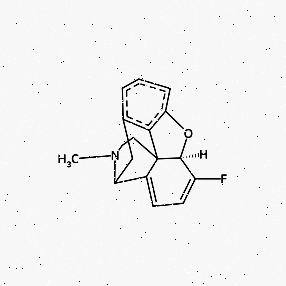 CN1CCC23C4=CC=C(F)[C@@H]2Oc2cccc(c23)CC41